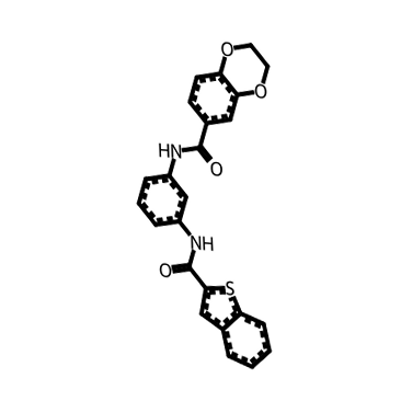 O=C(Nc1cccc(NC(=O)c2cc3ccccc3s2)c1)c1ccc2c(c1)OCCO2